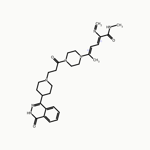 C=N/C(=C\C=C(/C)N1CCN(C(=O)CCN2CCC(c3n[nH]c(=O)c4ccccc34)CC2)CC1)C(=O)NC